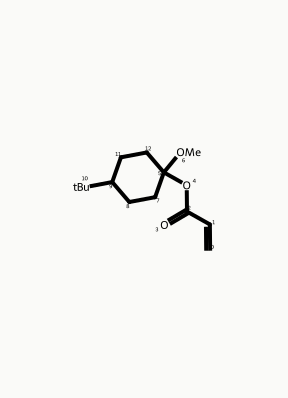 C=CC(=O)OC1(OC)CCC(C(C)(C)C)CC1